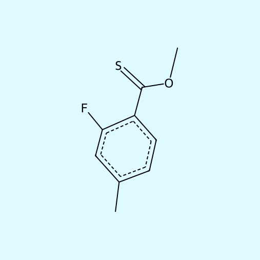 COC(=S)c1ccc(C)cc1F